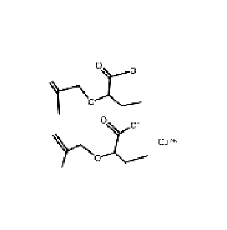 C=C(C)COC(CC)C(=O)[O-].C=C(C)COC(CC)C(=O)[O-].[Cu+2]